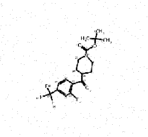 CC(C)(C)OC(=O)N1CCC(C(=O)c2ccc(C(F)(F)F)cc2F)CC1